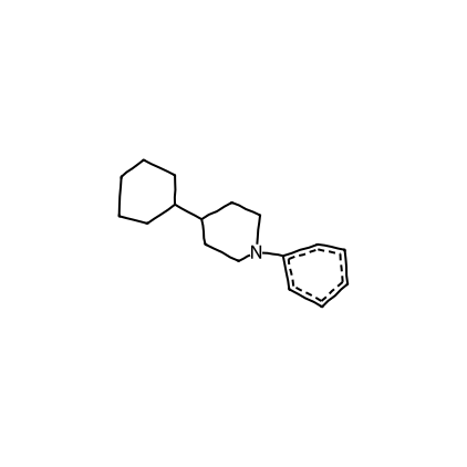 c1ccc(N2CCC(C3CCCCC3)CC2)cc1